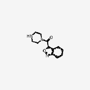 O=C(c1onc2ccccc12)N1CCNCC1